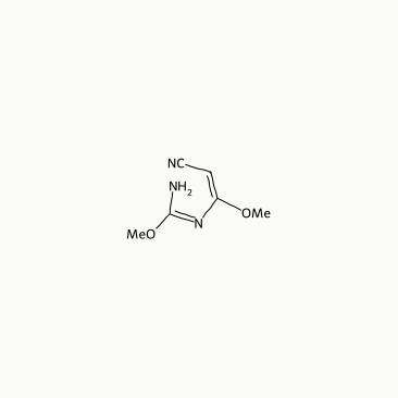 COC(=CC#N)N=C(N)OC